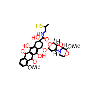 COc1cccc2c1C(=O)c1c(O)c3c(c(O)c1C2=O)C[C@@](O)(C(=O)NCC(C)S)C[C@@H]3O[C@H]1C[C@H]2[C@H](O[C@@H]3[C@@H](OC)OCCN32)[C@H](C)O1